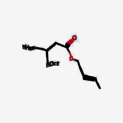 CC=CCOC(=O)CC(CCCCCC)CCCCCCCC